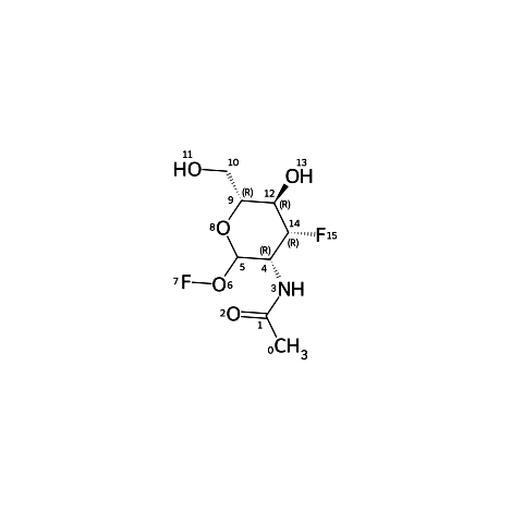 CC(=O)N[C@@H]1C(OF)O[C@H](CO)[C@@H](O)[C@@H]1F